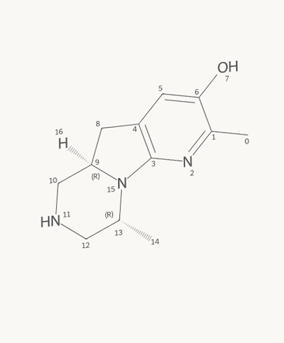 Cc1nc2c(cc1O)C[C@@H]1CNC[C@@H](C)N21